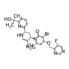 CC1=CN[C@@H](c2cccc(C(C)(C)O)n2)C[C@H]1n1c(C)cc(OCc2ncncc2F)c(Br)c1=O